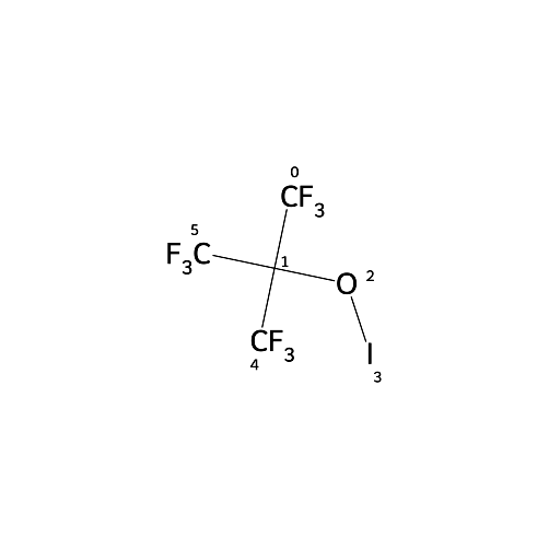 FC(F)(F)C(OI)(C(F)(F)F)C(F)(F)F